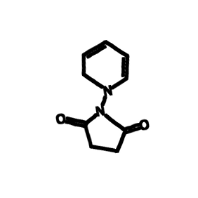 O=C1CCC(=O)N1N1C=CC=CC1